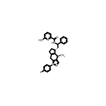 C[C@@H]1C2=C(CC[C@@H]2CC(NC(=O)c2cccc(O)n2)c2ccccc2)Cc2c1cnn2-c1ccc(F)cc1